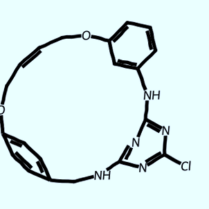 Clc1nc2nc(n1)Nc1cccc(c1)OCC=CCOc1ccc(cc1)CN2